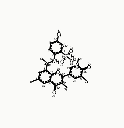 Cc1cc([C@@H](C)Nc2ccc(Cl)nc2S(N)(=O)=O)c2oc(-c3cc(C)c(=O)n(C)c3)c(C)c(=O)c2c1